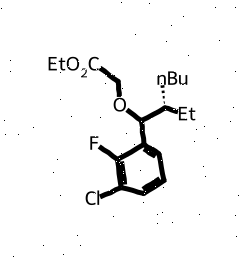 CCCC[C@H](CC)C(OCC(=O)OCC)c1cccc(Cl)c1F